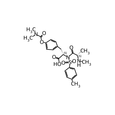 CN[C@@H](C)C(=O)N([C@@H](Cc1ccc(OC(=O)N(C)C)cc1)C(=O)O)S(=O)(=O)c1ccc(C)cc1